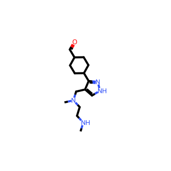 CNCCN(C)Cc1c[nH]nc1C1CCC(C=O)CC1